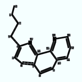 CCCCc1ccc2ccc3cccnc3c2n1